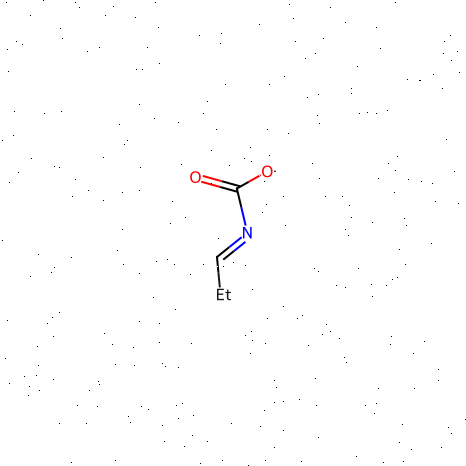 CCC=NC([O])=O